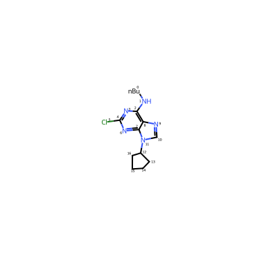 CCCCNc1nc(Cl)nc2c1ncn2C1CCCC1